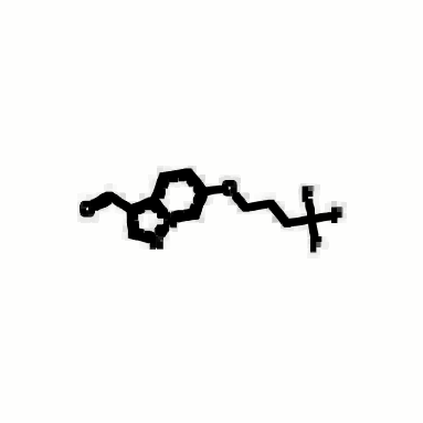 O=Cc1cnn2cc(OCCCC(F)(F)F)ccc12